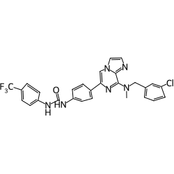 CN(Cc1cccc(Cl)c1)c1nc(-c2ccc(NC(=O)Nc3ccc(C(F)(F)F)cc3)cc2)cn2ccnc12